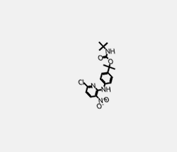 CC(C)(C)NC(=O)OC(C)(C)c1ccc(Nc2nc(Cl)ccc2[N+](=O)[O-])cc1